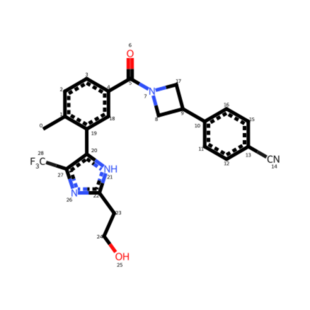 Cc1ccc(C(=O)N2CC(c3ccc(C#N)cc3)C2)cc1-c1[nH]c(CCO)nc1C(F)(F)F